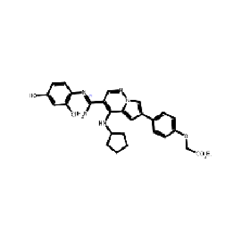 CCOC(=O)COc1ccc(-c2cc3c(NC4CCCC4)c(/C(N)=N/c4ccc(O)cc4Cl)cnn3c2)cc1